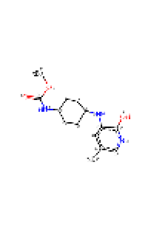 CC(C)(C)OC(=O)NC1CCC(Nc2cc(C#N)cnc2O)CC1